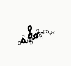 O=C(O)CCNC(=O)c1ccc(CN(C(=O)NCc2cc(Cl)cc(Cl)c2)c2ccc(C3CCCCC3)cc2)cc1